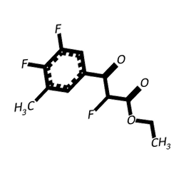 CCOC(=O)C(F)C(=O)c1cc(C)c(F)c(F)c1